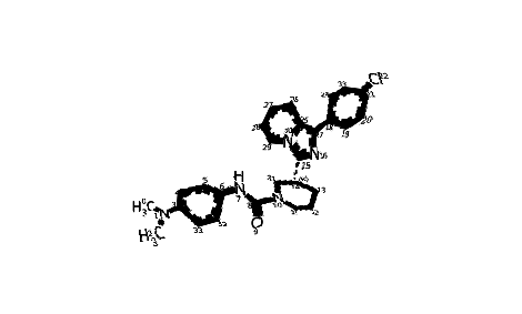 CN(C)c1ccc(NC(=O)N2CCC[C@@H](c3nc(-c4ccc(Cl)cc4)c4ccccn34)C2)cc1